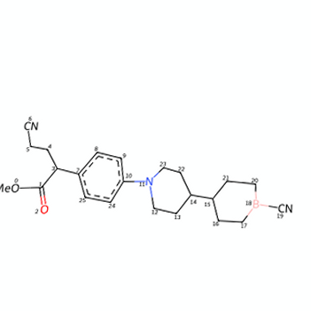 COC(=O)C(CCC#N)c1ccc(N2CCC(C3CCB(C#N)CC3)CC2)cc1